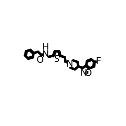 O=C(Cc1ccccc1)NCc1ccc(CCN2CCC(c3noc4cc(F)ccc34)CC2)s1